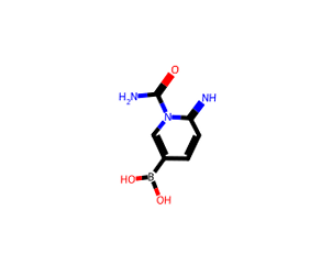 N=c1ccc(B(O)O)cn1C(N)=O